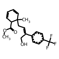 COC(=O)C1C=CC=CC1(C)C/C=C(\CO)c1ccc(C(F)(F)F)cc1